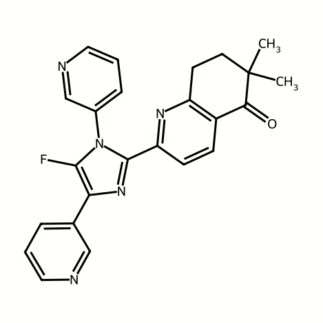 CC1(C)CCc2nc(-c3nc(-c4cccnc4)c(F)n3-c3cccnc3)ccc2C1=O